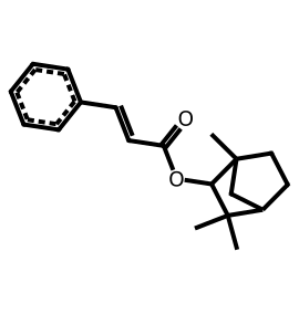 CC12CCC(C1)C(C)(C)C2OC(=O)C=Cc1ccccc1